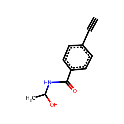 [C]#Cc1ccc(C(=O)NC(C)O)cc1